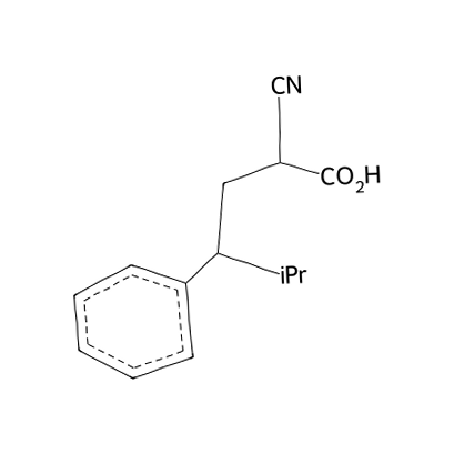 CC(C)C(CC(C#N)C(=O)O)c1ccccc1